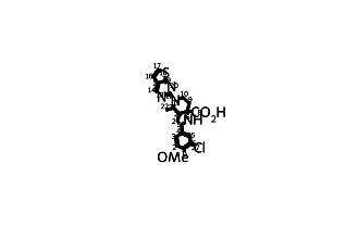 COc1ccc(CNC2(C(=O)O)CCN(c3ncc4ccsc4n3)C(C)C2C)cc1Cl